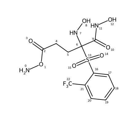 NOC(=O)CCC(NO)(C(=O)NO)S(=O)(=O)c1ccccc1C(F)(F)F